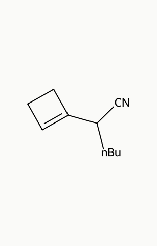 CCCCC(C#N)C1=CCC1